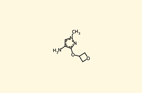 Cn1cc(N)c(OC2COC2)n1